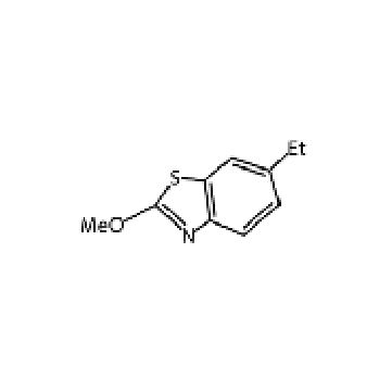 CCc1ccc2nc(OC)sc2c1